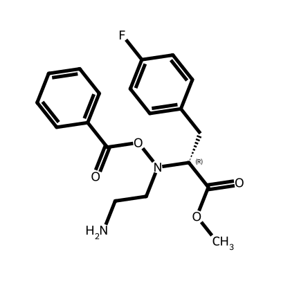 COC(=O)[C@@H](Cc1ccc(F)cc1)N(CCN)OC(=O)c1ccccc1